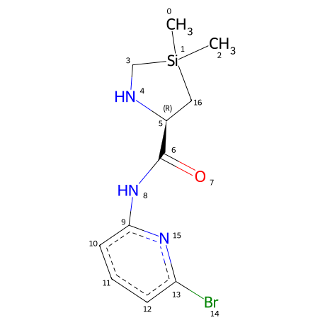 C[Si]1(C)CN[C@H](C(=O)Nc2cccc(Br)n2)C1